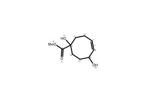 COC(=O)C1(O)CC/C=C\C(O)CC1